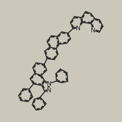 c1ccc(-c2cc3ccc(-c4ccc5c(ccc6cc(-c7ccc8ccc9cccnc9c8n7)ccc65)c4)cc3c3c2c(-c2ccccc2)nn3-c2ccccc2)cc1